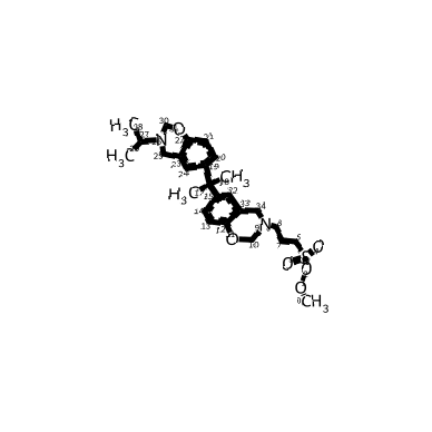 COOS(=O)(=O)CCCN1COc2ccc(C(C)(C)c3ccc4c(c3)CN(C(C)C)CO4)cc2C1